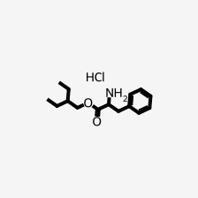 CCC(CC)COC(=O)C(N)Cc1ccccc1.Cl